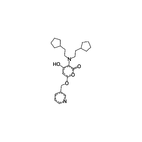 O=c1oc(OCc2cccnc2)cc(O)c1N(CCC1CCCC1)CCC1CCCC1